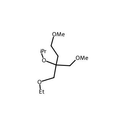 CCOCC(CCOC)(COC)OC(C)C